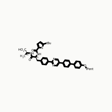 CCCC(C)Oc1ccc(-c2ccc(-c3cnc(-c4ccc(C[C@H](NC(=O)c5ccc(C(C)(C)C)s5)C(=O)N[C@H](C)C(=O)O)cc4)nc3)cc2)cc1